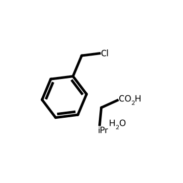 CC(C)CC(=O)O.ClCc1ccccc1.O